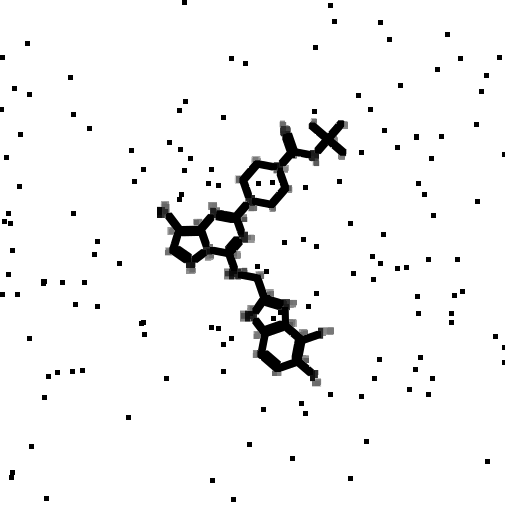 CC(C)(C)OC(=O)N1CCN(c2nc(NCc3nc4c(F)c(F)ccc4[nH]3)n3ncc(Br)c3n2)CC1